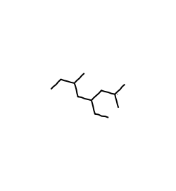 CCC(C)CC(CC)C[C](C)C